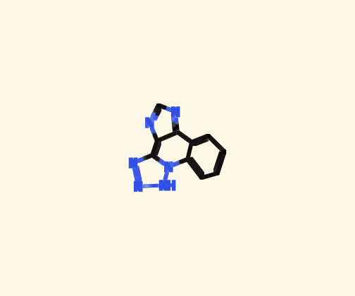 c1ccc2c(c1)c1ncnc-1c1nn[nH]n12